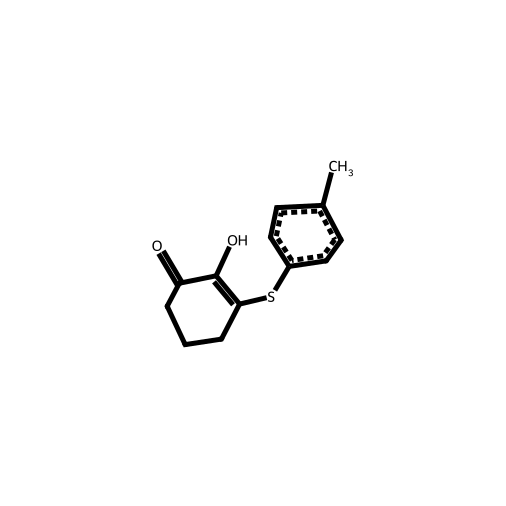 Cc1ccc(SC2=C(O)C(=O)CCC2)cc1